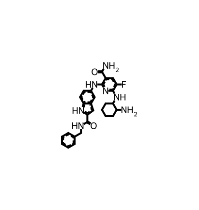 NC(=O)c1cc(F)c(NC2CCCCC2N)nc1Nc1ccc2[nH]c(C(=O)NCc3ccccc3)cc2c1